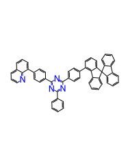 c1ccc(-c2nc(-c3ccc(-c4cccc5c4-c4ccccc4C54c5ccccc5-c5ccccc54)cc3)nc(-c3ccc(-c4cccc5cccnc45)cc3)n2)cc1